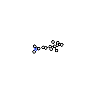 c1ccc(-c2c3cc4c5ccccc5c5cccc(c3c(-c3ccccc3)c3c6ccc(-c7ccc8cc(-c9ccc%10c(c9)c9ccccc9n%10-c9ccccc9)ccc8c7)c7cccc(c23)c76)c54)cc1